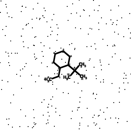 [CH2]CC1CCCCC1C(C)(C)C